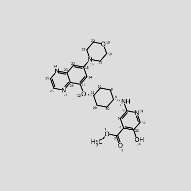 COC(=O)c1cc(N[C@H]2CC[C@@H](Oc3cc(N4CCOCC4)cc4nccnc34)CC2)ncc1O